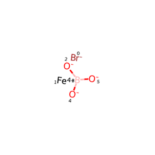 [Br-].[Fe+4].[O-]B([O-])[O-]